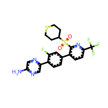 Nc1cnc(-c2ccc(-c3ccc(C(F)(F)F)nc3S(=O)(=O)C3CCSCC3)cc2F)cn1